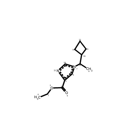 CCOC(=O)c1cn(C(C)C2CCC2)cn1